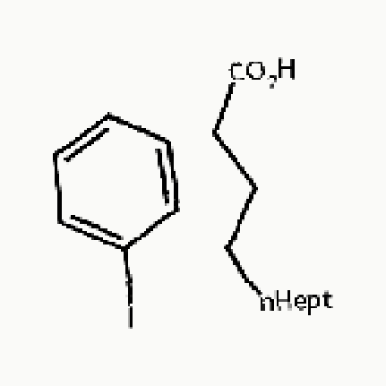 CCCCCCCCCCC(=O)O.Ic1ccccc1